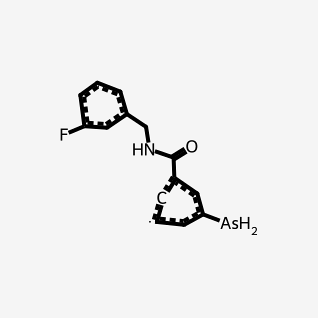 O=C(NCc1cccc(F)c1)c1c[c]cc([AsH2])c1